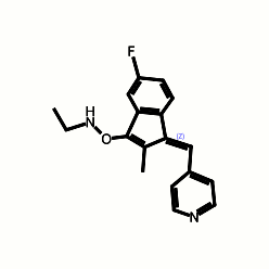 CCNOC1=C(C)/C(=C\c2ccncc2)c2ccc(F)cc21